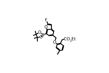 CCOC(=O)Cc1ccc(C)cc1OCc1cc(B2OC(C)(C)C(C)(C)O2)c2oc(F)cc2c1